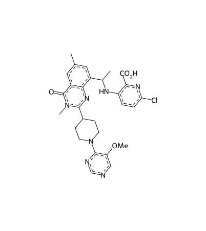 COc1cncnc1N1CCC(c2nc3c(C(C)Nc4ccc(Cl)nc4C(=O)O)cc(C)cc3c(=O)n2C)CC1